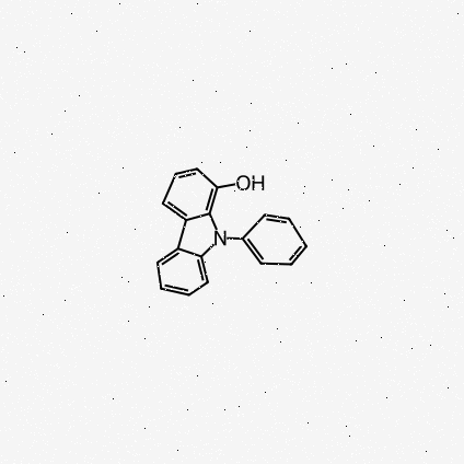 Oc1cccc2c3ccccc3n(-c3ccccc3)c12